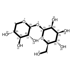 OC[C@H]1O[C@@H](O[C@@H]2OC[C@@H](O)[C@H](O)[C@H]2O)[C@@H](O)[C@@H](O)[C@@H]1O